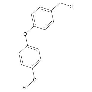 CCOc1ccc(Oc2ccc(CCl)cc2)cc1